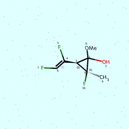 COC1(O)[C@H](/C(F)=C/F)[C@]1(C)F